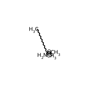 CCCCCCCCCCCCCCC[C@@H](OC(C)=O)[C@H](C)N